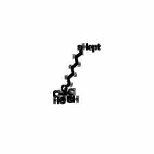 CCCCCCCCCCCCCCOP(O)(O)(Cl)Cl